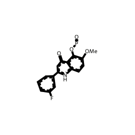 COc1ccc2[nH]c(-c3cccc(F)c3)cc(=O)c2c1OP=O